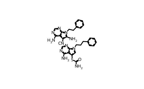 N#Cc1c(N)n(CCc2ccccc2)c2ncnc(N)c12.NC(=O)Sc1cn(CCCc2ccccc2)c2ncnc(N)c12